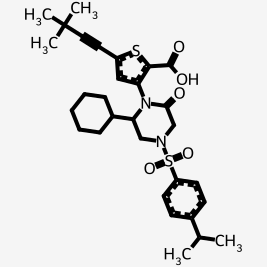 CC(C)c1ccc(S(=O)(=O)N2CC(=O)N(c3cc(C#CC(C)(C)C)sc3C(=O)O)C(C3CCCCC3)C2)cc1